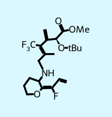 C=C/C(F)=C1/OCCCC1NC/C(C)=C(/C(=C)[C@H](OC(C)(C)C)C(=O)OC)C(F)(F)F